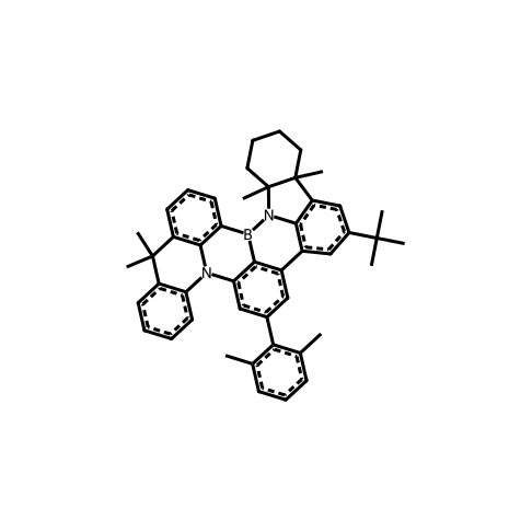 Cc1cccc(C)c1-c1cc2c3c(c1)N1c4ccccc4C(C)(C)c4cccc(c41)B3N1c3c-2cc(C(C)(C)C)cc3C2(C)CCCCC12C